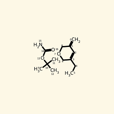 C=C1C=C(CC)COC1.CC(C)(C)OC(N)=O